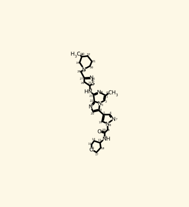 Cc1cn2c(-c3cnn(CC(=O)NC4CCOCC4)c3)cnc2c(NC2CC(CN3CCCC(C)C3)=NS2)n1